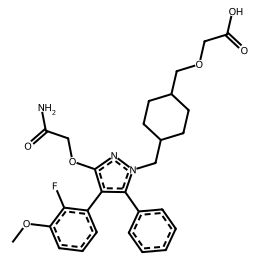 COc1cccc(-c2c(OCC(N)=O)nn(CC3CCC(COCC(=O)O)CC3)c2-c2ccccc2)c1F